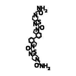 NC(=O)CN1CCc2nc(C(=O)N3CCc4c(-c5cccc6c5CCN6C(=O)c5nc6c(s5)CN(CC(N)=O)CC6)cccc43)sc2C1